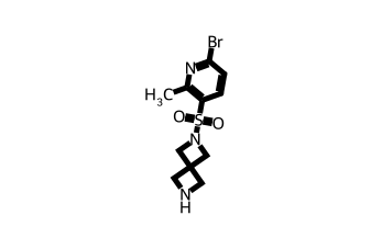 Cc1nc(Br)ccc1S(=O)(=O)N1CC2(CNC2)C1